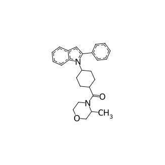 CC1COCCN1C(=O)C1CCC(n2c(-c3ccccc3)cc3ccccc32)CC1